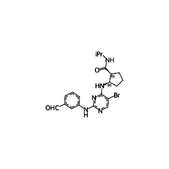 CC(C)NC(=O)[C@H]1CCC[C@H]1Nc1nc(Nc2cccc(C=O)c2)ncc1Br